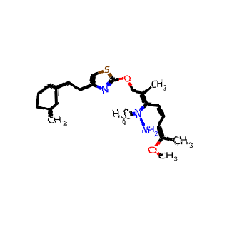 C=C1CCCC(CCc2csc(OC/C(C)=C(/C=C\C=C(/C)OC)N(C)N)n2)C1